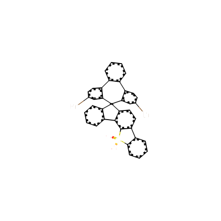 O=S1(=O)c2ccccc2-c2ccc3c(c21)-c1ccccc1C31c2cc(Br)ccc2-c2ccccc2-c2ccc(Br)cc21